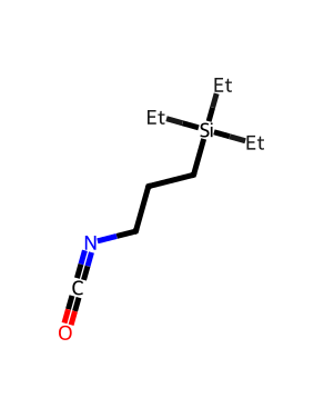 CC[Si](CC)(CC)CCCN=C=O